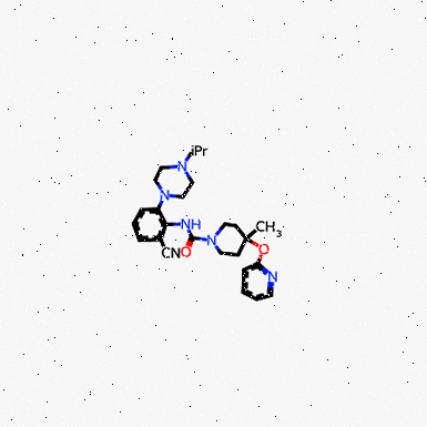 CC(C)N1CCN(c2cccc(C#N)c2NC(=O)N2CCC(C)(Oc3ccccn3)CC2)CC1